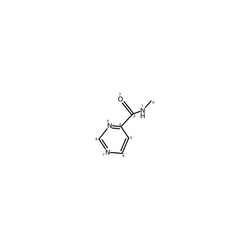 CNC(=O)c1c[c]ncn1